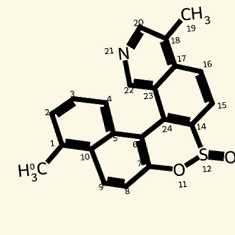 Cc1cccc2c3c(ccc12)OS(=O)c1ccc2c(C)cncc2c1-3